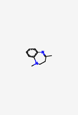 CC1=Nc2ccccc2N(C)CC1